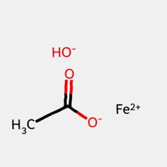 CC(=O)[O-].[Fe+2].[OH-]